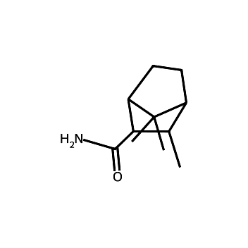 CC1C(C(N)=O)C2CCC1C2(C)C